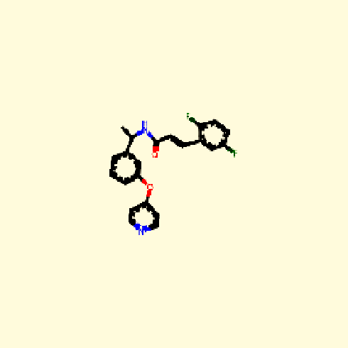 CC(NC(=O)C=Cc1cc(F)ccc1F)c1cccc(Oc2ccncc2)c1